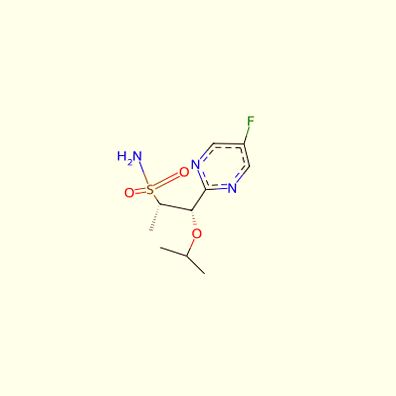 CC(C)O[C@@H](c1ncc(F)cn1)[C@H](C)S(N)(=O)=O